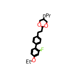 CCCC1COC(CCc2ccc(-c3ccc(OCC)cc3F)cc2)OC1